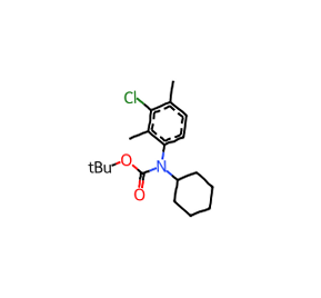 Cc1ccc(N(C(=O)OC(C)(C)C)C2CCCCC2)c(C)c1Cl